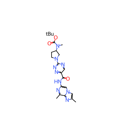 Cc1cn2cc(NC(=O)c3cnc(N4CC[C@@H](N(C)C(=O)OC(C)(C)C)C4)nn3)nc(C)c2n1